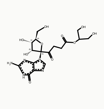 Nc1nc2c(ncn2[C@]2(C(=O)CCC(=O)OC(CO)CO)O[C@H](CO)[C@@H](O)[C@H]2O)c(=O)[nH]1